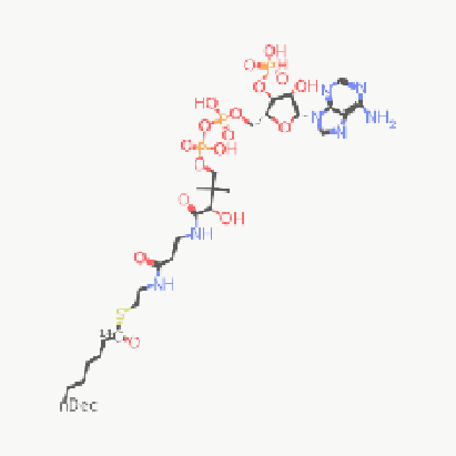 CCCCCCCCCCCCCCC[14C](=O)SCCNC(=O)CCNC(=O)[C@H](O)C(C)(C)COP(=O)(O)OP(=O)(O)OC[C@H]1O[C@@H](n2cnc3c(N)ncnc32)[C@H](O)[C@@H]1OP(=O)(O)O